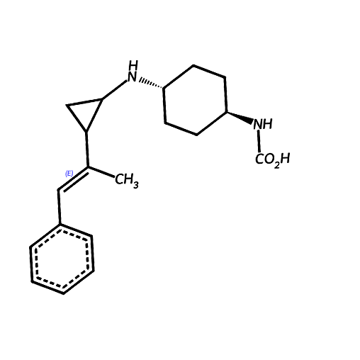 C/C(=C\c1ccccc1)C1CC1N[C@H]1CC[C@H](NC(=O)O)CC1